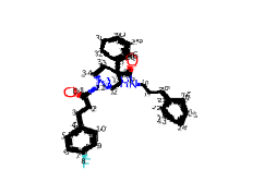 O=C(CCc1ccc(F)cc1)N1CCC(C(=O)NCCCc2ccccc2)(c2ccccc2)CC1